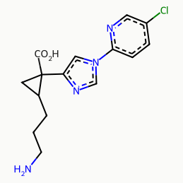 NCCCC1CC1(C(=O)O)c1cn(-c2ccc(Cl)cn2)cn1